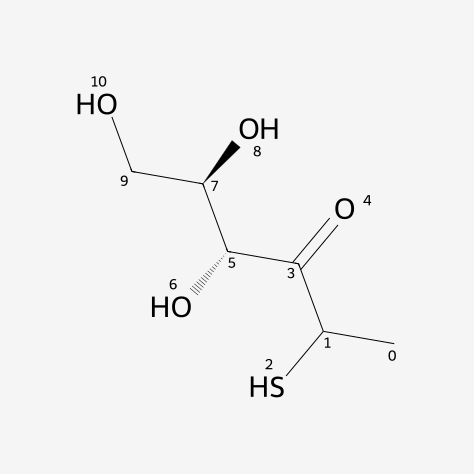 CC(S)C(=O)[C@H](O)[C@H](O)CO